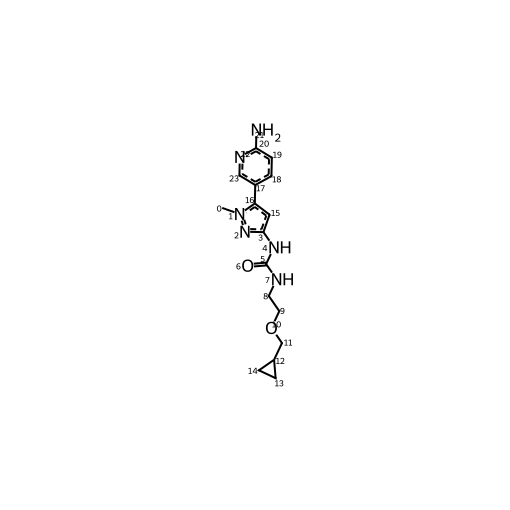 Cn1nc(NC(=O)NCCOCC2CC2)cc1-c1ccc(N)nc1